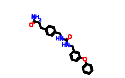 NC(=O)CCc1ccc(CNC(=O)NCc2cccc(Oc3ccccc3)c2)cc1